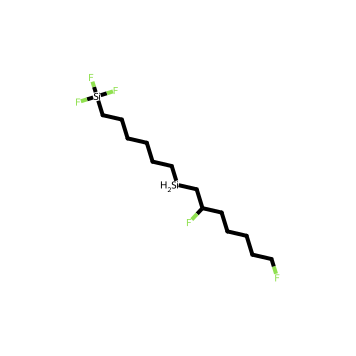 FCCCCCC(F)C[SiH2]CCCCCC[Si](F)(F)F